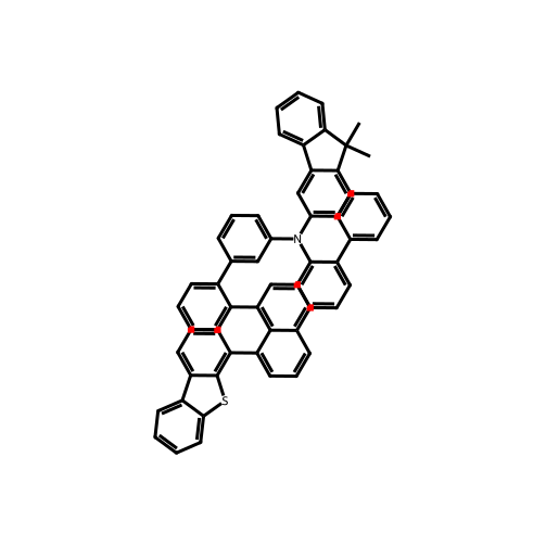 CC1(C)c2ccccc2-c2cc(N(c3cccc(-c4ccccc4-c4cccc5cccc(-c6cccc7c6sc6ccccc67)c45)c3)c3ccccc3-c3ccccc3)ccc21